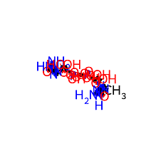 CN1CN([C@@H]2O[C@H](COP(=O)(O)OCCOP(=O)(O)OC[C@H]3O[C@@H](n4cnc5c(=O)[nH]c(N)nc54)[C@H](O)[C@@H]3O)[C@@H](O)[C@H]2O)c2nc(N)[nH]c(=O)c21